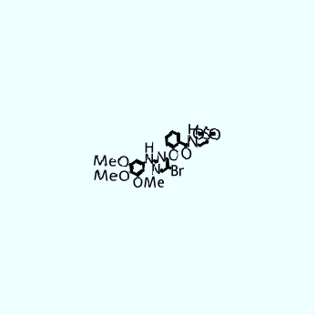 COc1cc(Nc2ncc(Br)c(Oc3ccccc3C(=O)NCCS(C)(=O)=O)n2)cc(OC)c1OC